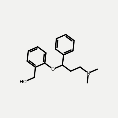 CN(C)CCC(Oc1ccccc1CO)c1ccccc1